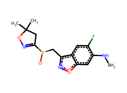 BNc1cc2onc(C[S+]([O-])C3=NOC(C)(C)C3)c2cc1F